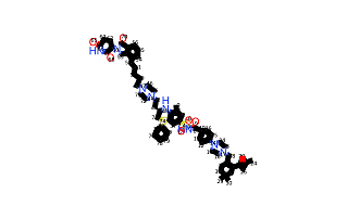 Cc1cc(S(=O)(=O)NC(=O)c2ccc(N3CCN(CC4=C(C56CC(C)(C5)C6)CC(C)(C)CC4)CC3)cc2)ccc1N[C@H](CCN1CCN(CCCCCc2cccc3c2CN(C2CCC(=O)NC2=O)C3=O)CC1)CSc1ccccc1